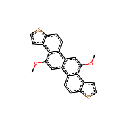 COc1cc2c(cc(OC)c3c4ccsc4ccc23)c2ccc3sccc3c12